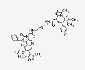 COc1cc2c(cc1-c1c(C)noc1C)ncc1c2n(C(C)c2ccccn2)c(=O)n1CC(=O)NCCOCCNC(=O)C[C@@H]1N=C(c2ccc(Cl)cc2)c2c(sc(C)c2C)-n2c(C)nnc21